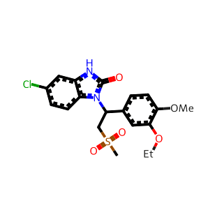 CCOc1cc(C(CS(C)(=O)=O)n2c(=O)[nH]c3cc(Cl)ccc32)ccc1OC